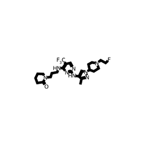 Cc1nn(C2CCN(CCF)CC2)cc1Nc1ncc(C(F)(F)F)c(NCCCN2CCCCC2=O)n1